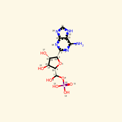 Nc1nc([C@@H]2O[C@H](C(O)OP(=O)(O)O)[C@@H](O)[C@@H]2O)nc2nc[nH]c12